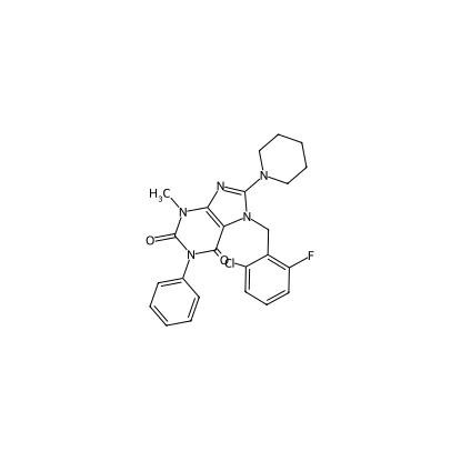 Cn1c(=O)n(-c2ccccc2)c(=O)c2c1nc(N1CCCCC1)n2Cc1c(F)cccc1Cl